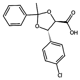 CC1(c2ccccc2)O[C@@H](C(=O)O)[C@H](c2ccc(Cl)cc2)O1